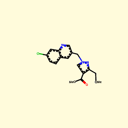 COCc1nn(Cc2cnc3cc(Cl)ccc3c2)cc1C(=O)OC